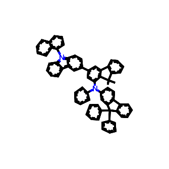 CC1(C)c2ccccc2-c2cc(-c3ccc4c(c3)c3ccccc3n4-c3cccc4ccccc34)cc(N(c3ccccc3)c3ccc4c(c3)C(c3ccccc3)(c3ccccc3)c3ccccc3-4)c21